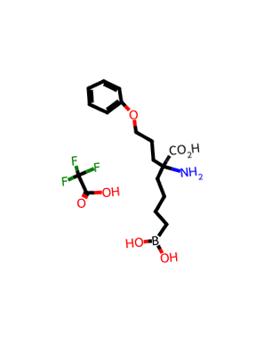 NC(CCCCB(O)O)(CCCOc1ccccc1)C(=O)O.O=C(O)C(F)(F)F